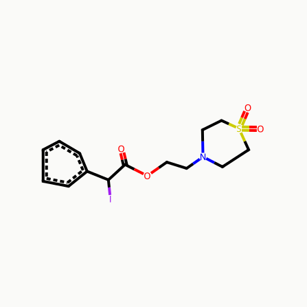 O=C(OCCN1CCS(=O)(=O)CC1)C(I)c1ccccc1